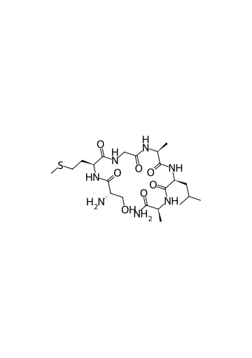 CSCC[C@H](NC(=O)[C@@H](N)CO)C(=O)NCC(=O)N[C@@H](C)C(=O)N[C@@H](CC(C)C)C(=O)N[C@@H](C)C(N)=O